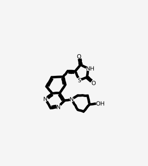 O=C1NC(=O)C(=Cc2ccc3ncnc(N4CCC(O)CC4)c3c2)S1